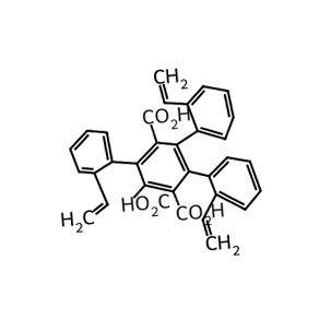 C=Cc1ccccc1-c1c(C(=O)O)c(C(=O)O)c(-c2ccccc2C=C)c(-c2ccccc2C=C)c1C(=O)O